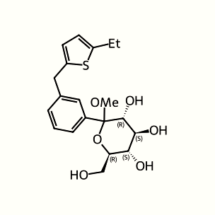 CCc1ccc(Cc2cccc(C3(OC)O[C@H](CO)[C@@H](O)[C@H](O)[C@H]3O)c2)s1